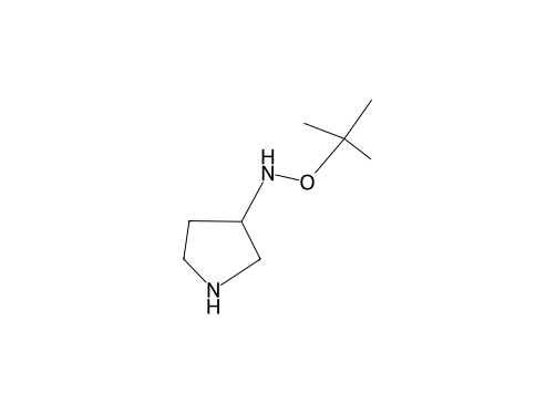 CC(C)(C)ONC1CCNC1